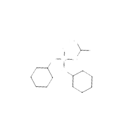 CC(C)O[Si](Cl)(OC1CCCCC1)OC1CCCCC1